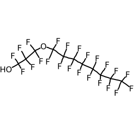 OC(F)(F)C(F)(F)C(F)(F)OC(F)(F)C(F)(F)C(F)(F)C(F)(F)C(F)(F)C(F)(F)C(F)(F)C(F)(F)F